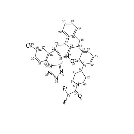 O=C(C(F)F)N1CCC(c2cccc(C(Cc3ccccc3)c3ccc(-c4cc(Cl)ccc4-n4cnnn4)c[n+]3[O-])c2)CC1